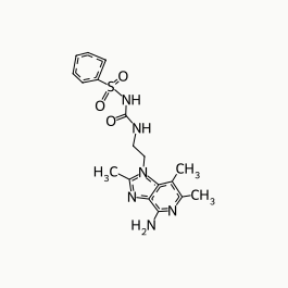 Cc1nc(N)c2nc(C)n(CCNC(=O)NS(=O)(=O)c3ccccc3)c2c1C